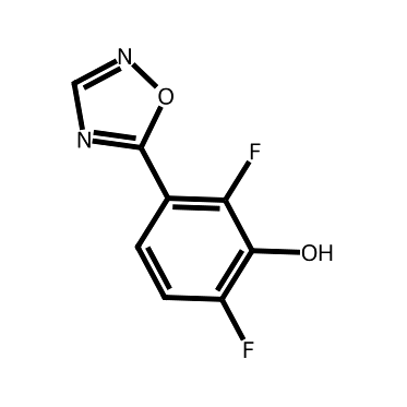 Oc1c(F)ccc(-c2ncno2)c1F